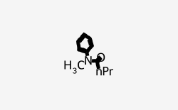 [CH2]CCC(=O)N(C)c1ccccc1